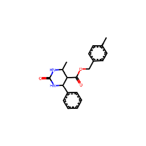 Cc1ccc(COC(=O)C2C(C)NC(=O)NC2c2ccccc2)cc1